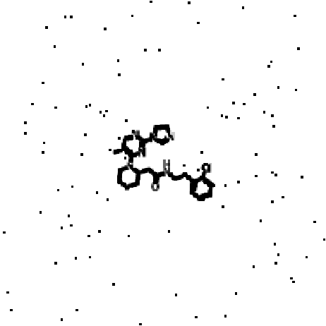 Cc1cnc(-n2ccnc2)nc1N1CCCCC1CC(=O)NCCc1ccccc1Cl